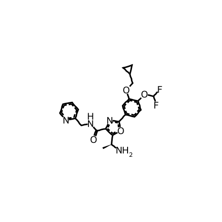 C[C@H](N)c1oc(-c2ccc(OC(F)F)c(OCC3CC3)c2)nc1C(=O)NCc1ccccn1